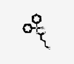 CC(C)(C)[Si](OC(=O)CCCCl)(c1ccccc1)c1ccccc1